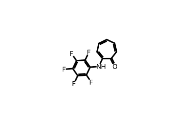 O=c1cccccc1Nc1c(F)c(F)c(F)c(F)c1F